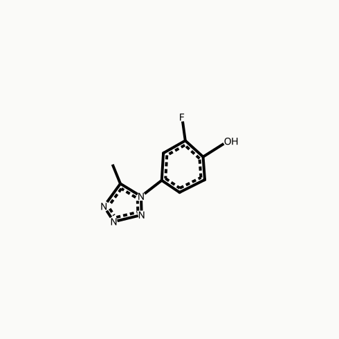 Cc1nnnn1-c1ccc(O)c(F)c1